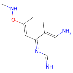 CNO/C(C)=C/C(=N/C=N)C(/C)=C/N